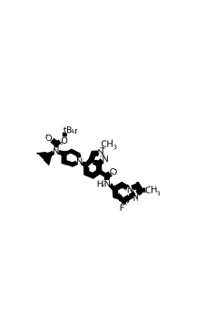 Cc1cn2cc(NC(=O)c3ccc(N4CCC(N(C(=O)OC(C)(C)C)C5CC5)CC4)c4cn(C)nc34)cc(F)c2n1